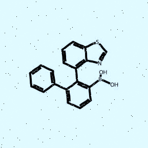 OB(O)c1cccc(-c2ccccc2)c1-c1cccc2scnc12